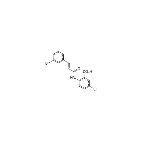 O=C(C=Cc1cccc(Br)c1)Nc1ccc(Cl)cc1C(=O)O